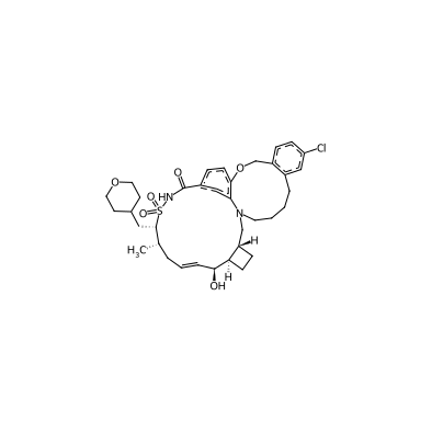 C[C@H]1C/C=C/[C@H](O)[C@@H]2CC[C@H]2CN2CCCCc3cc(Cl)ccc3COc3ccc(cc32)C(=O)NS(=O)(=O)[C@H]1CC1CCOCC1